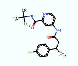 CC(CC(=O)Nc1ccnc(C(=O)NC(C)(C)C#N)c1)c1ccc(F)cc1